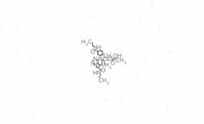 CCCNC(=O)c1ccc(C)c(N(C(=O)OCOC(=O)C(C)O)c2ncnn3cc(C(=O)NCCC)c(C)c23)c1